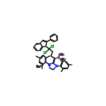 CCCCP(CCCC)C(CCC(Cl)(Cl)C1C(c2ccccc2)=Cc2ccccc21)=C1N(c2c(C)cc(C)cc2C)CCN1c1c(C)cc(C)cc1C.[Ru+2]